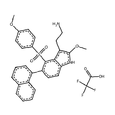 COc1ccc(S(=O)(=O)c2c(-c3cccc4ccccc34)ccc3[nH]c(OC)c(CCN)c23)cc1.O=C(O)C(F)(F)F